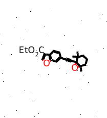 CCOC(=O)c1coc2cc(C#CC34OC3(C)CCCC4(C)C)ccc12